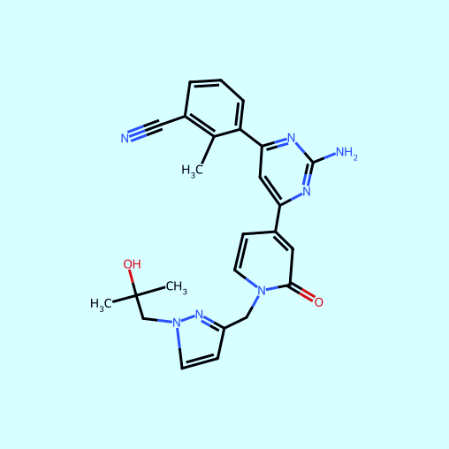 Cc1c(C#N)cccc1-c1cc(-c2ccn(Cc3ccn(CC(C)(C)O)n3)c(=O)c2)nc(N)n1